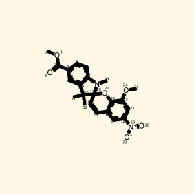 COC(=O)c1ccc2c(c1)C(C)(C)C1(C=Cc3cc([N+](=O)[O-])cc(OC)c3O1)N2C